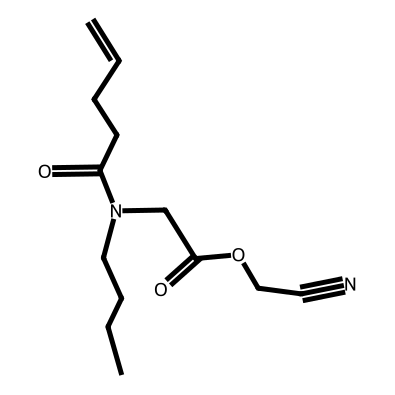 C=CCCC(=O)N(CCCC)CC(=O)OCC#N